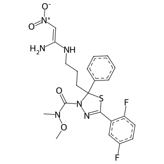 CON(C)C(=O)N1N=C(c2cc(F)ccc2F)SC1(CCCNC(N)=C[N+](=O)[O-])c1ccccc1